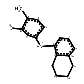 Cc1ccc(Nc2cccc3c2CCCC3)cc1O